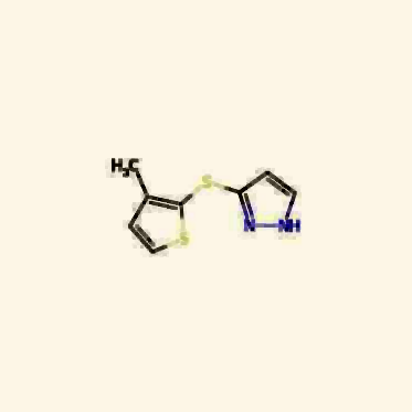 Cc1ccsc1Sc1cc[nH]n1